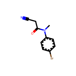 CN(C(=O)CC#N)c1ccc(Br)cc1